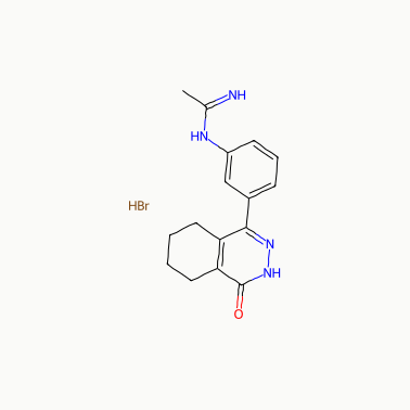 Br.CC(=N)Nc1cccc(-c2n[nH]c(=O)c3c2CCCC3)c1